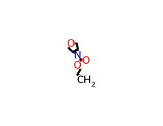 C=CCOC(=O)N1C2COCC21